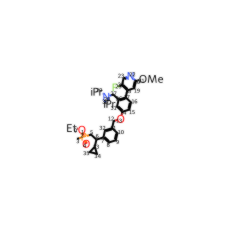 CCOP(C)(=O)CC(c1cccc(COc2ccc(-c3cc(OC)ncc3F)c(CN(C(C)C)C(C)C)c2)c1)C1CC1